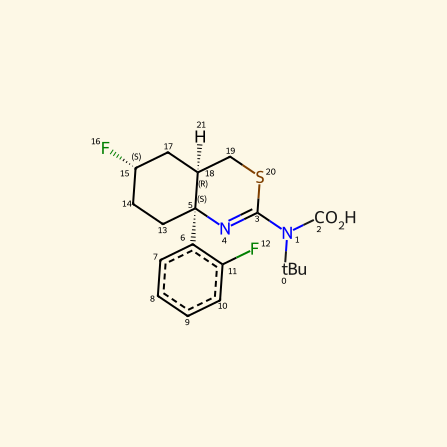 CC(C)(C)N(C(=O)O)C1=N[C@@]2(c3ccccc3F)CC[C@H](F)C[C@H]2CS1